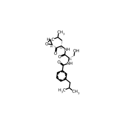 CC(C)Cc1cccc(C(=O)N[C@@H](CO)C(=O)N[C@@H](CC(C)C)C(=O)[C@H]2CO2)c1